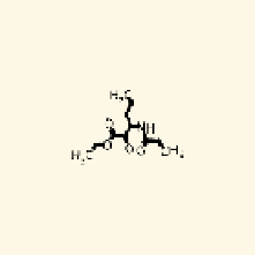 C=CCC(NC(=O)CC)C(=O)C(=O)OCC